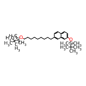 CC(C)(C)[Si](C)(C)OCCCCCCCCCc1ccc2ccc(O[Si](C)(C)C(C)(C)C)cc2c1